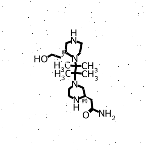 CC(C)(N1CCN[C@H](CC(N)=O)C1)C(C)(C)N1CCNC[C@H]1CCO